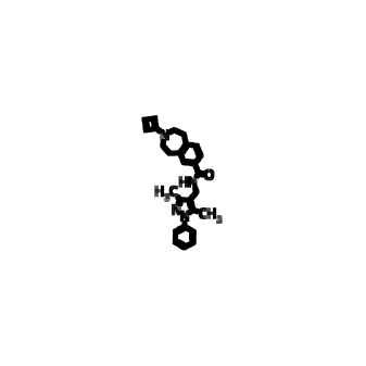 Cc1nn(-c2ccccc2)c(C)c1CNC(=O)c1ccc2c(c1)CCN(C1=CC=C1)CC2